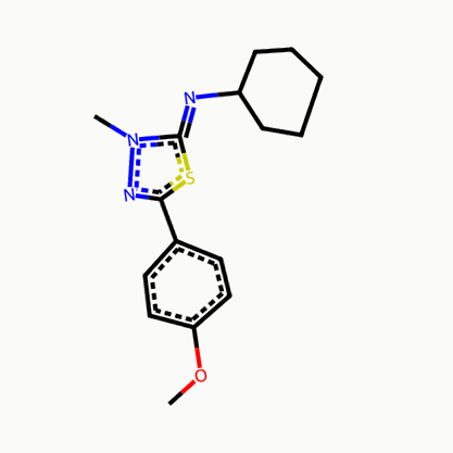 COc1ccc(-c2nn(C)/c(=N/C3CCCCC3)s2)cc1